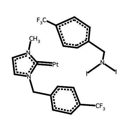 Cn1ccn(Cc2ccc(C(F)(F)F)cc2)[c]1=[Pt].FC(F)(F)c1ccc(CN(I)I)cc1